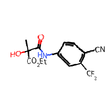 CCOC(=O)C(C)(O)C(=O)Nc1ccc(C#N)c(C(F)(F)F)c1